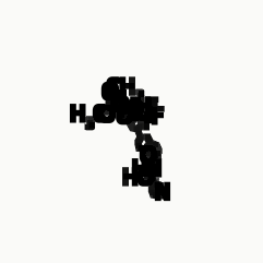 COc1cc(OC)nc(NS(=O)(=O)c2ccc(-c3ccc4c(c3)CC[C@H](CNC[C@H](O)c3cccnc3)O4)cc2OC(F)(F)F)n1